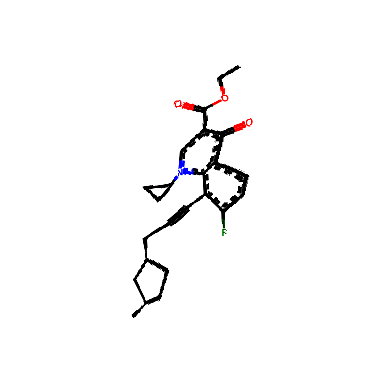 CCOC(=O)c1cn(C2CC2)c2c(C#CC[C@H]3CC[C@@H](C)C3)c(F)ccc2c1=O